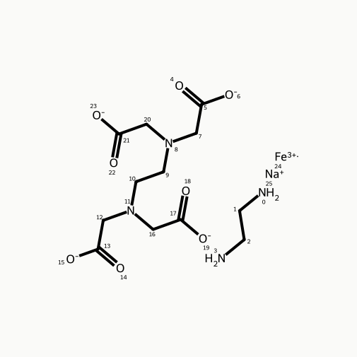 NCCN.O=C([O-])CN(CCN(CC(=O)[O-])CC(=O)[O-])CC(=O)[O-].[Fe+3].[Na+]